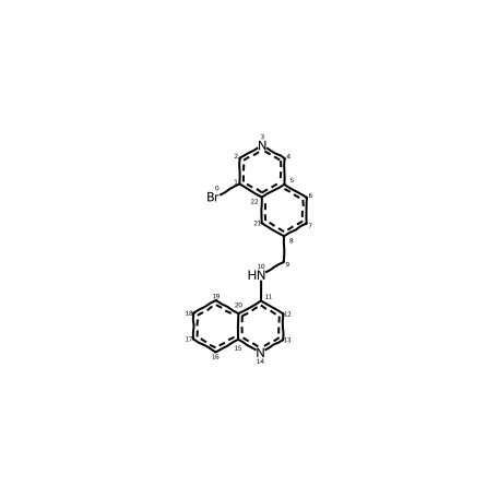 Brc1cncc2ccc(CNc3ccnc4ccccc34)cc12